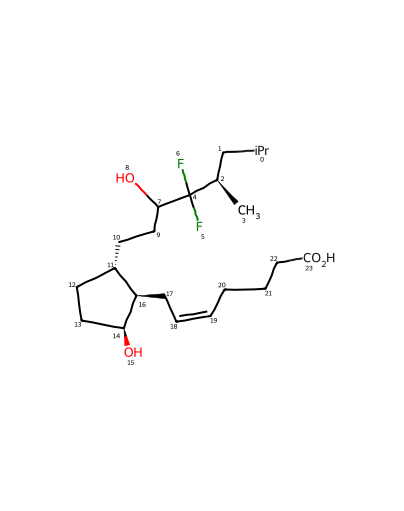 CC(C)C[C@@H](C)C(F)(F)C(O)CC[C@H]1CC[C@H](O)[C@@H]1C/C=C\CCCC(=O)O